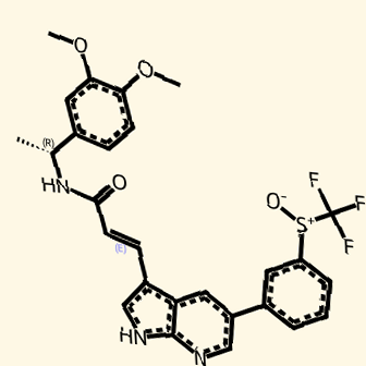 COc1ccc([C@@H](C)NC(=O)/C=C/c2c[nH]c3ncc(-c4cccc([S+]([O-])C(F)(F)F)c4)cc23)cc1OC